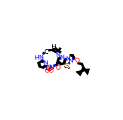 CC1(C)C[C@@H]2CCCNc3cccc(n3)S(=O)(=O)NC(=O)c3cc(S(C)(C)C)c(-n4ccc(OCCC5C6(CC6)C56CC6)n4)nc3N1C2